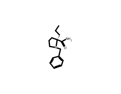 CCC[C@@]1(C(N)=O)CCCN1Cc1ccccc1